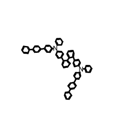 C1=CCCC(N(c2ccc(-c3ccc(-c4ccccc4)cc3)cc2)c2ccc(-c3ccccc3-c3ccccc3-c3ccc(N(c4ccccc4)c4ccc(-c5ccc(-c6ccccc6)cc5)cc4)cc3)cc2)=C1